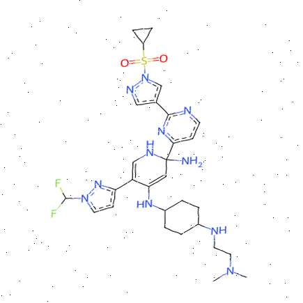 CN(C)CCNC1CCC(NC2=CC(N)(c3ccnc(-c4cnn(S(=O)(=O)C5CC5)c4)n3)NC=C2c2ccn(C(F)F)n2)CC1